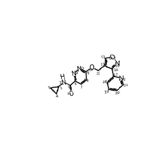 O=C(NC1CC1)c1ccc(OCc2conc2-c2ccccn2)nn1